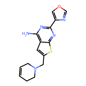 Nc1nc(-c2cocn2)nc2sc(CN3CC=CCC3)cc12